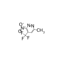 Cc1cc(C(F)(F)F)c([N+](=O)[O-])nn1